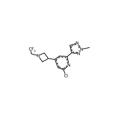 Cn1ncc(-c2cc(C3CN(CC(F)(F)F)C3)cc(Cl)n2)n1